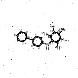 [2H]c1c([2H])c(Nc2ccc(-c3ccccc3)cc2)c([2H])c([2H])c1Br